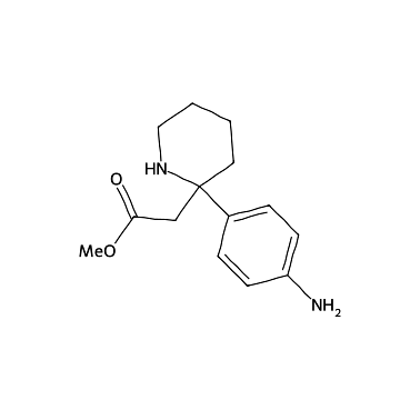 COC(=O)CC1(c2ccc(N)cc2)CCCCN1